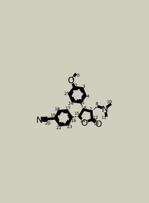 COc1ccc([C@@H]2[C@H](CN(C)C)C(=O)O[C@@H]2c2ccc(C#N)cc2)cc1